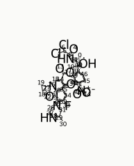 [CH2][C@@H](NC(=O)C(Cl)Cl)[C@@](O)(COC(=O)c1cn(C2CC2)c2c(OC)c(N3CCNC(C)C3)c(F)cc2c1=O)c1ccc([N+](=O)[O-])cc1